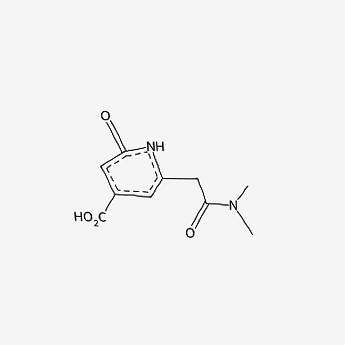 CN(C)C(=O)Cc1cc(C(=O)O)cc(=O)[nH]1